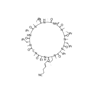 CCC1NC(=O)C(C[C@H](C)C/C=C/CCC#N)N(C)C(=O)C(C(C)C)N(C)C(=O)[C@H](CC(C)C)N(C)C(=O)[C@@H](CC(C)C)N(C)C(=O)[C@H](C)NC(=O)[C@@H](C)NC(=O)[C@@H](CC(C)C)N(C)C(=O)[C@@H](C(C)C)NC(=O)[C@H](CC(C)C)N(C)C(=O)CN(C)C1=O